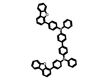 C1=CCC(N(c2ccc(-c3ccc(N(c4ccccc4)C4C=CC(c5cccc6c5oc5ccccc56)=CC4)cc3)cc2)c2ccc(-c3cccc4c3oc3ccccc34)cc2)C=C1